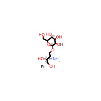 CC[C@@H](O)[C@@H](O)[C@@H](N)CO[C@H]1OC(CO)[C@H](O)C(O)C1O